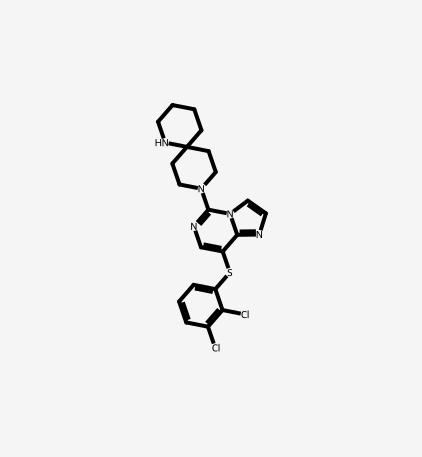 Clc1cccc(Sc2cnc(N3CCC4(CCCCN4)CC3)n3ccnc23)c1Cl